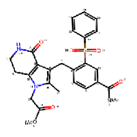 CNC(=O)c1ccc(Cc2c3c(n(CC(=O)OC)c2C)CCNC3=O)c(S(=O)(=O)c2ccccc2)c1